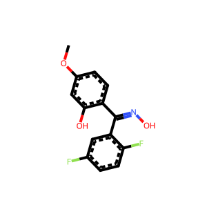 COc1ccc(C(=NO)c2cc(F)ccc2F)c(O)c1